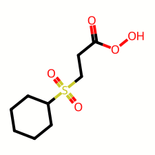 O=C(CCS(=O)(=O)C1CCCCC1)OO